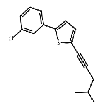 CC(C)CC#Cc1ccc(-c2cccc(Cl)c2)s1